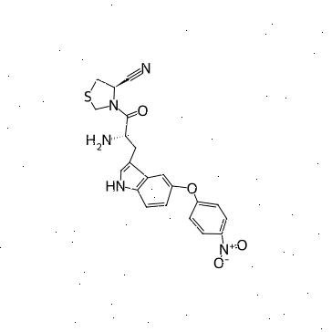 N#C[C@@H]1CSCN1C(=O)[C@@H](N)Cc1c[nH]c2ccc(Oc3ccc([N+](=O)[O-])cc3)cc12